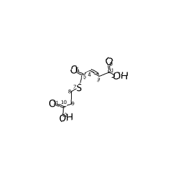 O=C(O)/C=C/C(=O)SCCC(=O)O